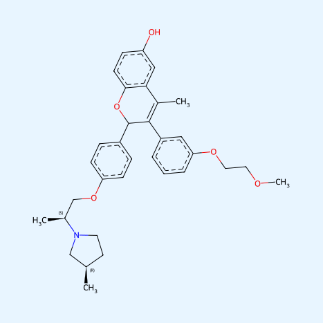 COCCOc1cccc(C2=C(C)c3cc(O)ccc3OC2c2ccc(OC[C@H](C)N3CC[C@@H](C)C3)cc2)c1